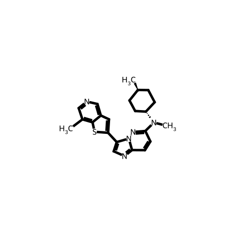 Cc1cncc2cc(-c3cnc4ccc(N(C)[C@H]5CC[C@H](C)CC5)nn34)sc12